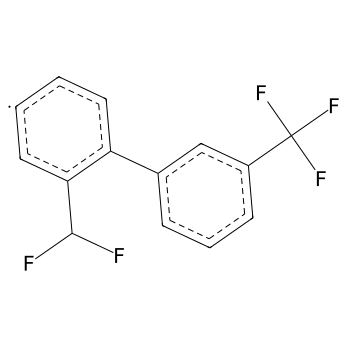 FC(F)c1c[c]ccc1-c1cccc(C(F)(F)F)c1